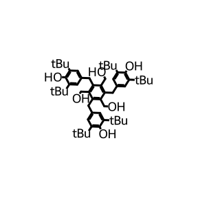 CC(C)(C)c1cc(Cc2c(CO)c(Cc3cc(C(C)(C)C)c(O)c(C(C)(C)C)c3)c(CO)c(Cc3cc(C(C)(C)C)c(O)c(C(C)(C)C)c3)c2CO)cc(C(C)(C)C)c1O